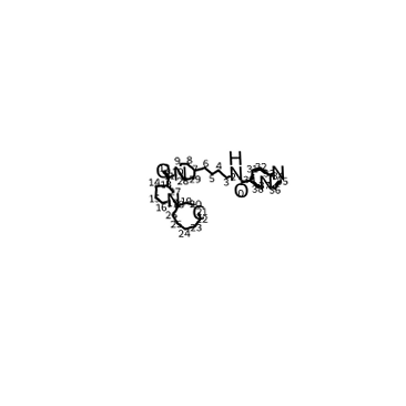 O=C(NCCCCC1CCN(C(=O)C2CCCN(C3CCCCCCCC3)C2)CC1)c1ccc2nccn2c1